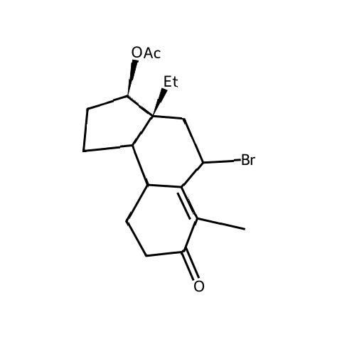 CC[C@@]12CC(Br)C3=C(C)C(=O)CCC3C1CC[C@H]2OC(C)=O